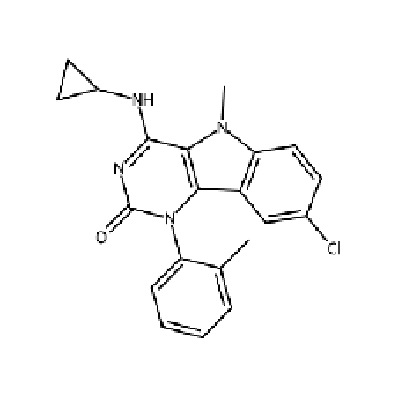 Cc1ccccc1-n1c(=O)nc(NC2CC2)c2c1c1cc(Cl)ccc1n2C